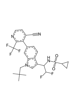 CC(C)(C)Cn1cc(C(NS(=O)(=O)C2CC2)C(F)F)c2ccc(-c3c(C#N)ccnc3C(F)(F)F)cc21